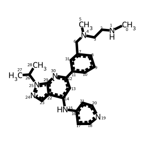 CNCCN(C)Cc1cccc(-c2cc(Nc3ccncc3)c3cnn(C(C)C)c3n2)c1